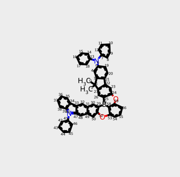 CC1(C)c2cc(N(c3ccccc3)c3ccccc3)ccc2-c2cc3c(cc21)B1c2cc4cc5c6ccccc6n(-c6ccccc6)c5cc4cc2Oc2cccc(c21)O3